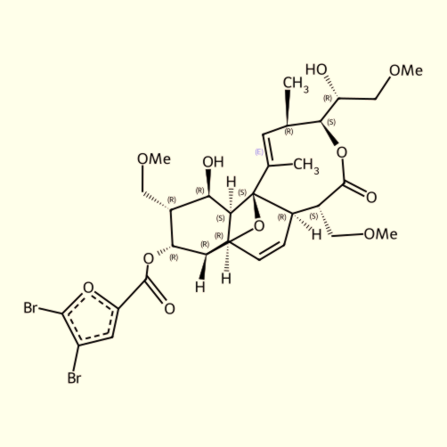 COC[C@@H]1[C@@H](O)[C@@H]2[C@H]3C=C[C@@H]4[C@@H](COC)C(=O)O[C@H]([C@H](O)COC)[C@H](C)/C=C(\C)[C@@]24O[C@H]3[C@@H]1OC(=O)c1cc(Br)c(Br)o1